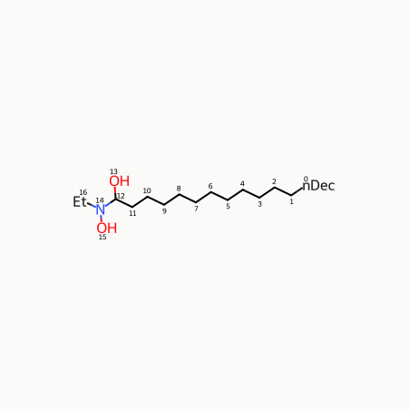 CCCCCCCCCCCCCCCCCCCCCC(O)N(O)CC